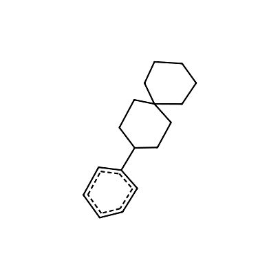 c1ccc(C2CCC3(CCCCC3)CC2)cc1